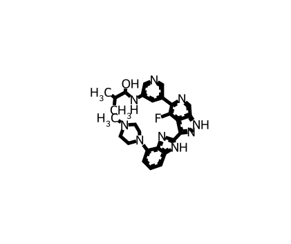 CC(C)C(O)Nc1cncc(-c2ncc3[nH]nc(-c4nc5c(N6CCN(C)CC6)cccc5[nH]4)c3c2F)c1